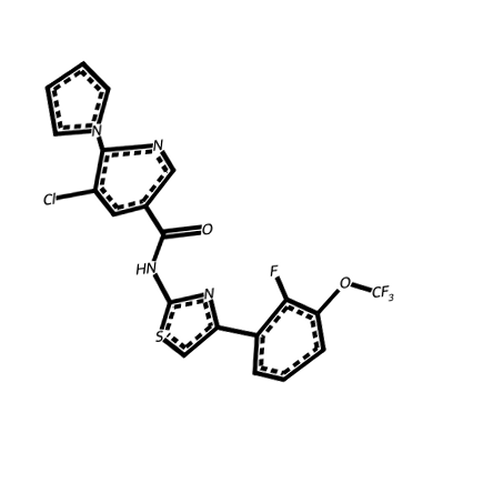 O=C(Nc1nc(-c2cccc(OC(F)(F)F)c2F)cs1)c1cnc(-n2cccc2)c(Cl)c1